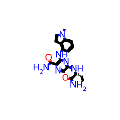 CC[C@@H](Nc1cnc(C(N)=O)c(Nc2cccc3c2ccn3C)n1)C(N)=O